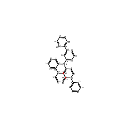 c1ccc(-c2ccc(N(c3cccc(-c4ccccn4)c3)c3ccccc3-c3ccccc3)cc2)cc1